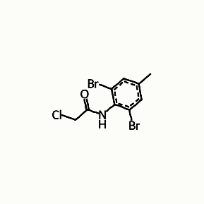 Cc1cc(Br)c(NC(=O)CCl)c(Br)c1